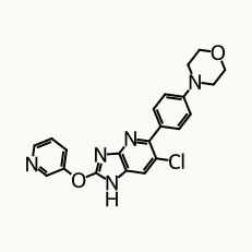 Clc1cc2[nH]c(Oc3cccnc3)nc2nc1-c1ccc(N2CCOCC2)cc1